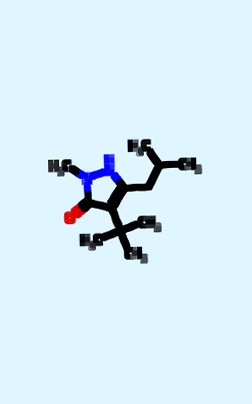 CC(C)Cc1[nH]n(C)c(=O)c1C(C)(C)C